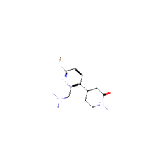 CSc1ccc(C2CCN(C)C(=O)C2)c(CN(C)C)n1